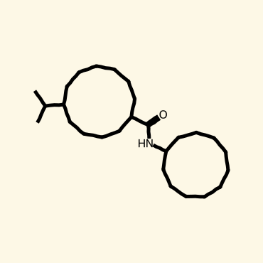 CC(C)C1CCCCCCC(C(=O)NC2CCCCCCCCCC2)CCCC1